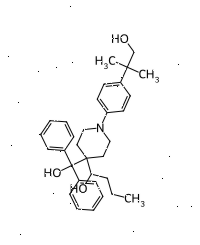 CCCC(O)C1(C(O)(c2ccccc2)c2ccccc2)CCN(c2ccc(C(C)(C)CO)cc2)CC1